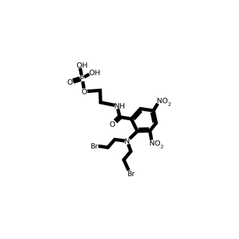 O=C(NCCOP(=O)(O)O)c1cc([N+](=O)[O-])cc([N+](=O)[O-])c1N(CCBr)CCBr